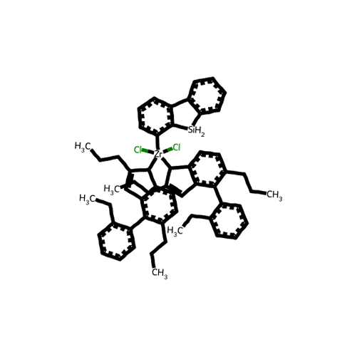 CCCC1=Cc2c(ccc(CCC)c2-c2ccccc2CC)[CH]1[Zr]([Cl])([Cl])([c]1cccc2c1[SiH2]c1ccccc1-2)[CH]1C(CCC)=Cc2c1ccc(CCC)c2-c1ccccc1CC